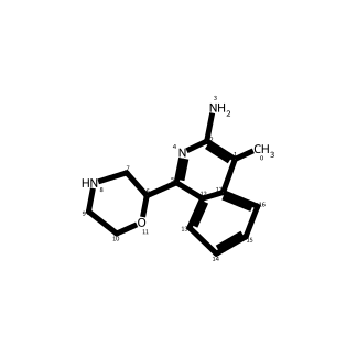 Cc1c(N)nc(C2CNCCO2)c2ccccc12